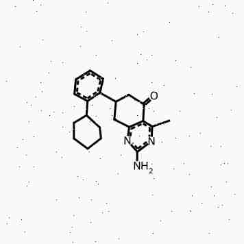 Cc1nc(N)nc2c1C(=O)CC(c1ccccc1C1CCCCC1)C2